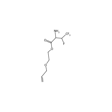 C=CCOCCOC(=O)C(N)C(F)C(F)(F)F